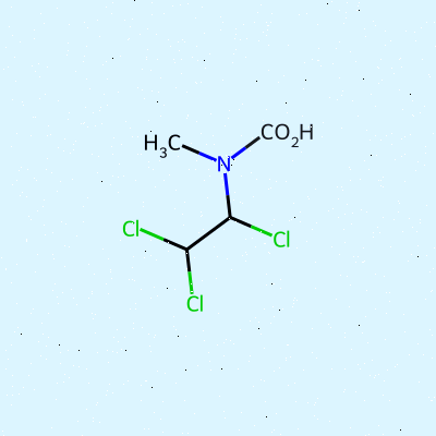 CN(C(=O)O)C(Cl)C(Cl)Cl